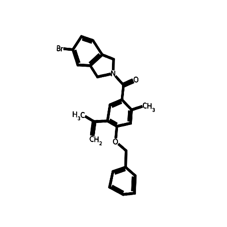 C=C(C)c1cc(C(=O)N2Cc3ccc(Br)cc3C2)c(C)cc1OCc1ccccc1